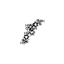 O=C1NNC(Nc2n[c]nc(Nc3ccc(S(=O)(=O)O)cc3)n2)(c2ccc(S(=O)(=O)O)cc2)C1(Cl)Cl